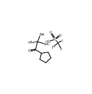 CCCCC(S)(CCCC)C(=O)C1CCCC1.O=S(=O)(O)C(F)(F)F